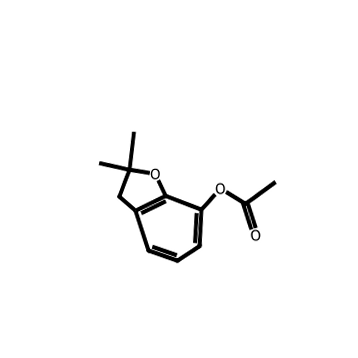 CC(=O)Oc1cccc2c1OC(C)(C)C2